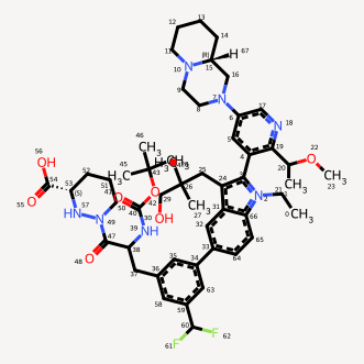 CCn1c(-c2cc(N3CCN4CCCC[C@@H]4C3)cnc2C(C)OC)c(CC(C)(C)CO)c2cc(-c3cc(CC(NC(=O)OC(C)(C)C)C(=O)N4CCC[C@@H](C(=O)O)N4)cc(C(F)F)c3)ccc21